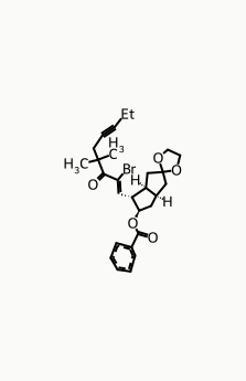 CCC#CCC(C)(C)C(=O)C(Br)=C[C@@H]1[C@H]2CC3(C[C@H]2C[C@H]1OC(=O)c1ccccc1)OCCO3